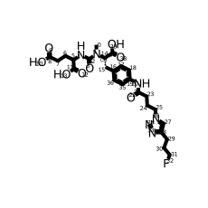 CN(C(=O)NC(CCC(=O)O)C(=O)O)[C@@H](Cc1ccc(NC(=O)CCCn2cc(CCCF)nn2)cc1)C(=O)O